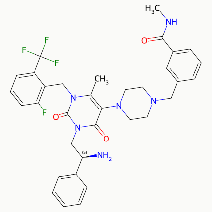 CNC(=O)c1cccc(CN2CCN(c3c(C)n(Cc4c(F)cccc4C(F)(F)F)c(=O)n(C[C@@H](N)c4ccccc4)c3=O)CC2)c1